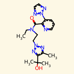 CCN(CCn1nc(C)c(C(C)(C)O)n1)C(=O)c1ncccc1-n1nccn1